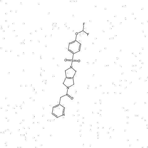 O=C(Cc1cccnc1)N1CC2=C(C1)CN(S(=O)(=O)c1ccc(OC(F)F)cc1)C2